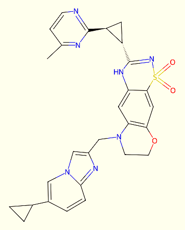 Cc1ccnc([C@H]2C[C@@H]2C2=NS(=O)(=O)c3cc4c(cc3N2)N(Cc2cn3cc(C5CC5)ccc3n2)CCO4)n1